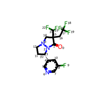 O=C1N2[C@H](c3cncc(F)c3)CCN2CC1(CC(F)(F)F)C(F)F